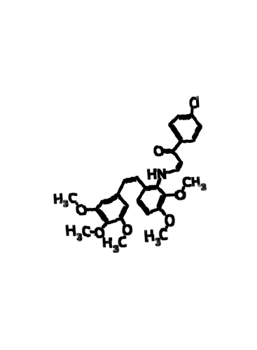 COc1cc(/C=C\c2ccc(OC)c(OC)c2N/C=C\C(=O)c2ccc(Cl)cc2)cc(OC)c1OC